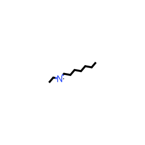 CCCCCCC[N]CC